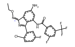 CCO/N=C1/N=C(c2cc(F)ccc2Cl)c2c(NC(=O)c3cc(F)cc(C(F)(F)F)c3)cc(N)cc21